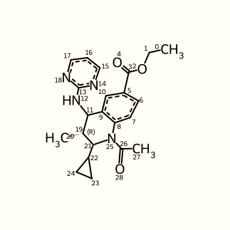 CCOC(=O)c1ccc2c(c1)C(Nc1ncccn1)[C@@H](C)C(C1CC1)N2C(C)=O